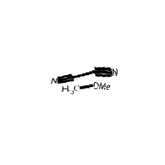 COC.N#CC#N